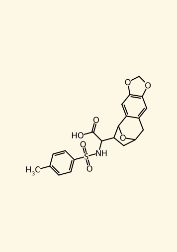 Cc1ccc(S(=O)(=O)NC(C(=O)O)C2CC3Cc4cc5c(cc4C2O3)OCO5)cc1